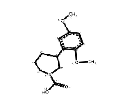 COc1ccc(OC)c(C2CCCN(C(=O)O)C2)c1